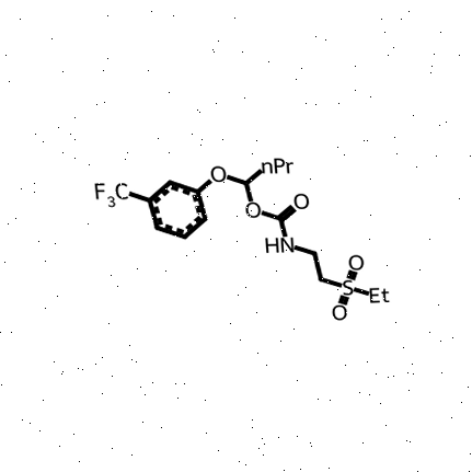 CCCC(OC(=O)NCCS(=O)(=O)CC)Oc1cccc(C(F)(F)F)c1